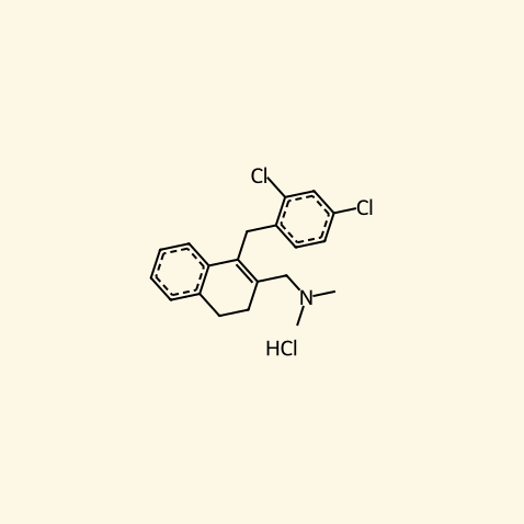 CN(C)CC1=C(Cc2ccc(Cl)cc2Cl)c2ccccc2CC1.Cl